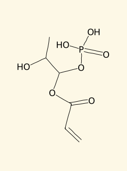 C=CC(=O)OC(OP(=O)(O)O)C(C)O